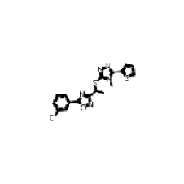 CC(Sc1nnc(-c2cccs2)n1C)c1noc(-c2cccc(Cl)c2)n1